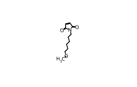 COCCCCCCN1C(=O)C=CC1=O